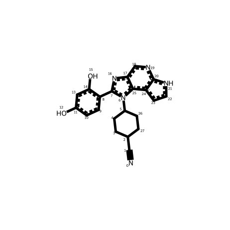 N#CC1CCC(n2c(-c3ccc(O)cc3O)nc3cnc4[nH]ccc4c32)CC1